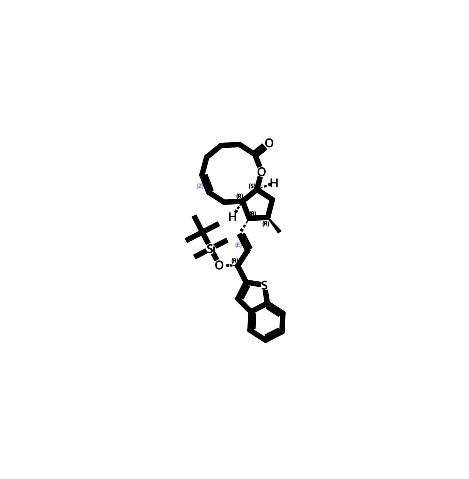 C[C@@H]1C[C@@H]2OC(=O)CCC/C=C\C[C@@H]2[C@H]1/C=C/[C@@H](O[Si](C)(C)C(C)(C)C)c1cc2ccccc2s1